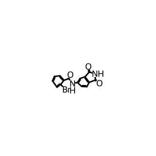 O=C(Nc1ccc2c(c1)C(=O)NC2=O)c1ccccc1Br